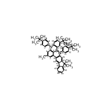 Cc1cc2c3c(c1)N(c1ccc(C(C)(C)C)cc1)c1ccc(C(C)(C)C)cc1B3N(c1ccc(C(C)(C)C)cc1)c1cc3c(cc1-2)-c1ccccc1C3(C)C